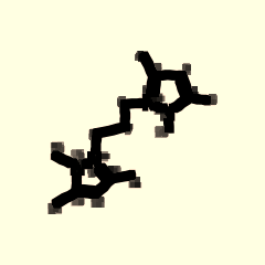 Cc1cc(C)[n+](CCC[n+]2c(C)cc(C)n2C)n1C